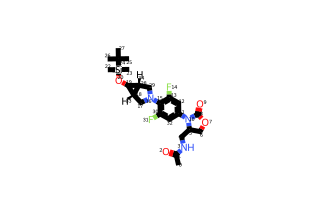 CC(=O)NCC1COC(=O)N1c1cc(F)c(N2C[C@@H]3C(O[Si](C)(C)C(C)(C)C)[C@@H]3C2)c(F)c1